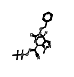 Cn1ncc2c1[C@@H](/C(C#N)=N/O[Si](C)(C)C(C)(C)C)N1C[C@@H]2N(OCc2ccccc2)C1=O